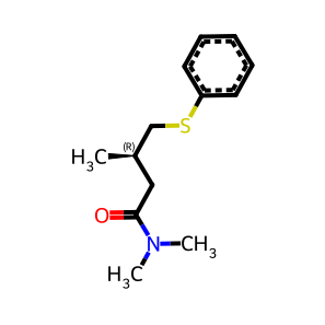 C[C@@H](CSc1ccccc1)CC(=O)N(C)C